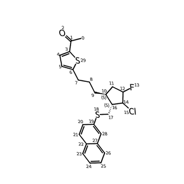 CC(=O)c1ccc(CCC[C@H]2CC(F)C(Cl)[C@@H]2CSc2ccc3ccccc3c2)s1